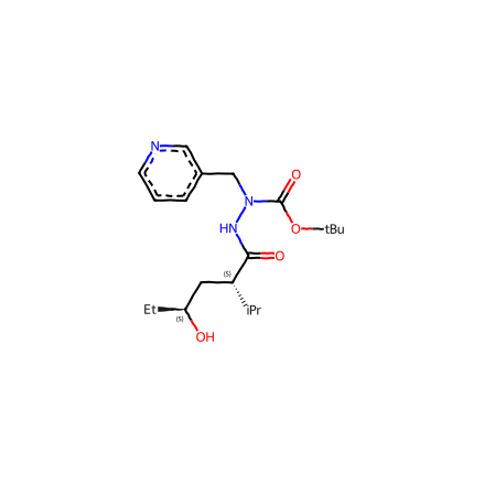 CC[C@H](O)C[C@H](C(=O)NN(Cc1cccnc1)C(=O)OC(C)(C)C)C(C)C